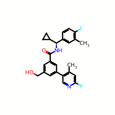 Cc1cc([C@@H](NC(=O)c2cc(CO)cc(-c3cnc(F)cc3C)c2)C2CC2)ccc1F